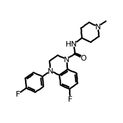 CN1CCC(NC(=O)N2CCN(c3ccc(F)cc3)c3cc(F)ccc32)CC1